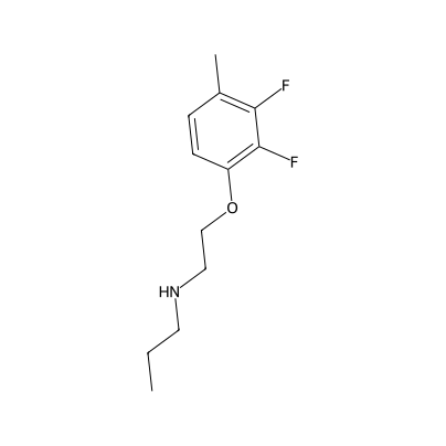 CCCNCCOc1ccc(C)c(F)c1F